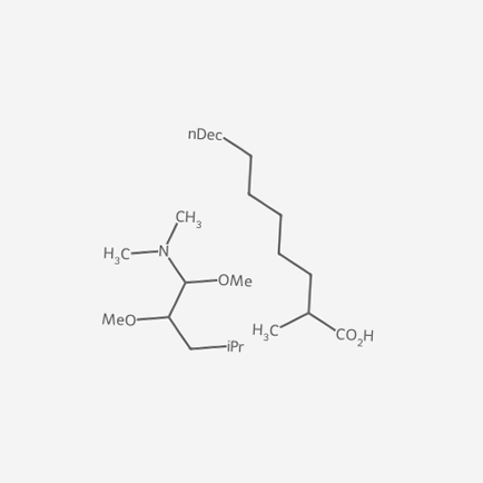 CCCCCCCCCCCCCCCC(C)C(=O)O.COC(CC(C)C)C(OC)N(C)C